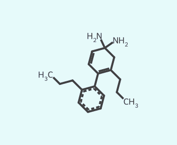 CCCC1=C(c2ccccc2CCC)C=CC(N)(N)C1